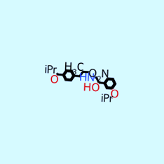 CC(CNCC(O)c1cc(OC(C)C)ccc1[N+](=O)[O-])Cc1ccc(C(=O)C(C)C)cc1